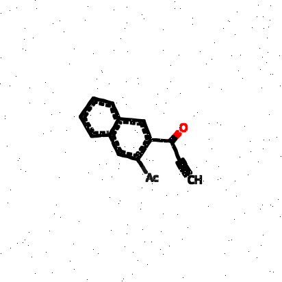 C#CC(=O)c1cc2ccccc2cc1C(C)=O